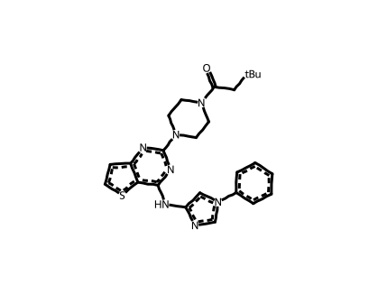 CC(C)(C)CC(=O)N1CCN(c2nc(Nc3cn(-c4ccccc4)cn3)c3sccc3n2)CC1